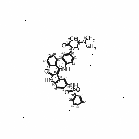 CC(=O)N(CC(=O)N(C)C)c1ccc(NC(=C2C(=O)Nc3ccc(NS(=O)(=O)c4ccccc4)cc32)c2ccccc2)cc1